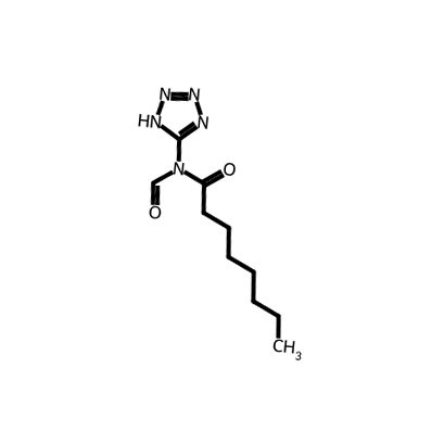 CCCCCCCC(=O)N(C=O)c1nnn[nH]1